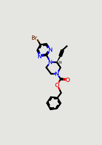 CC#C[C@H]1CN(C(=O)OCc2ccccc2)CCN1c1ncc(Br)cn1